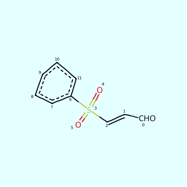 O=C/C=C/S(=O)(=O)c1ccccc1